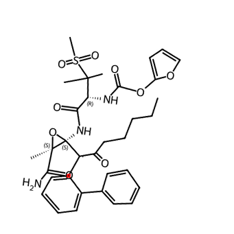 CCCCCC(=O)[C](c1ccccc1-c1ccccc1)[C@]1(NC(=O)[C@@H](NC(=O)Oc2ccco2)C(C)(C)S(C)(=O)=O)O[C@]1(C)C(N)=O